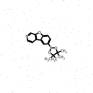 CC1(C)OB(c2ccc3oc4cnccc4c3c2)OC1(C)C